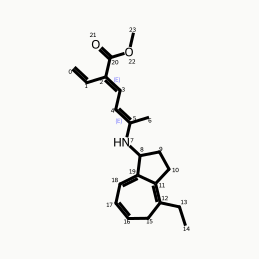 C=C/C(=C\C=C(/C)NC1CCC2=C(CC)CC=CC=C21)C(=O)OC